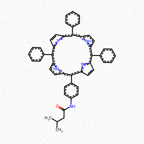 CC(C)CC(=O)Nc1ccc(-c2c3nc(c(-c4ccccc4)c4ccc([nH]4)c(-c4ccccc4)c4nc(c(-c5ccccc5)c5ccc2[nH]5)C=C4)C=C3)cc1